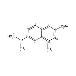 COc1cc2ccc(C(C)C(=O)O)cc2c(C)n1